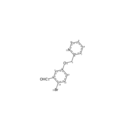 O=Cc1cc(OCc2ccccn2)ccc1Br